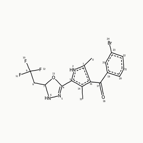 Cc1[nH]c(C2=NNC(CC(F)(F)F)O2)c(C)c1C(=O)c1cccc(Br)c1